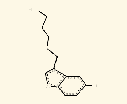 CCCCCCc1c[nH]c2ccc(O)cc12